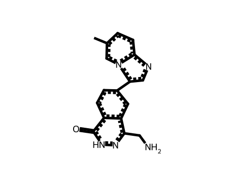 Cc1ccc2ncc(-c3ccc4c(=O)[nH]nc(CN)c4c3)n2c1